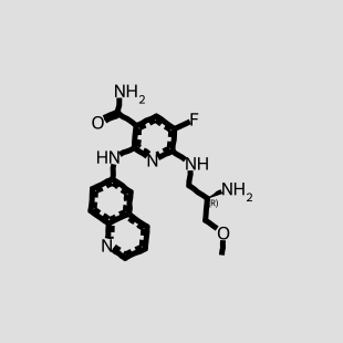 COC[C@H](N)CNc1nc(Nc2ccc3ncccc3c2)c(C(N)=O)cc1F